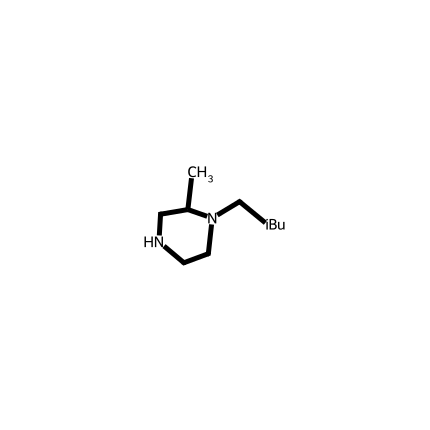 CCC(C)CN1CCNCC1C